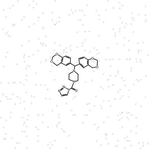 O=C(N1CCN(C(c2ccc3c(c2)COCO3)c2ccc3c(c2)COCO3)CC1)n1ccnn1